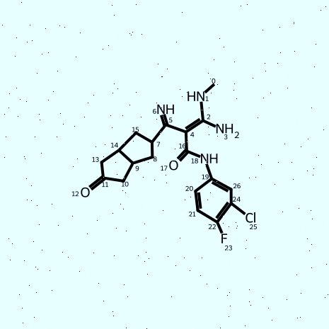 CN/C(N)=C(\C(=N)C1CC2CC(=O)CC2C1)C(=O)Nc1ccc(F)c(Cl)c1